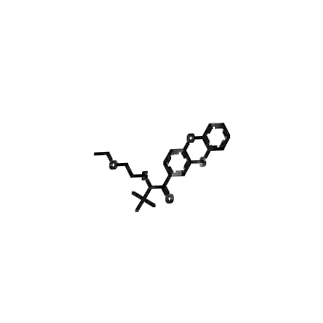 CCOCCSC(C(=O)c1ccc2c(c1)Sc1ccccc1O2)C(C)(C)C